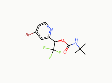 CC(C)(C)NC(=O)O[C@H](c1cc(Br)ccn1)C(F)(F)F